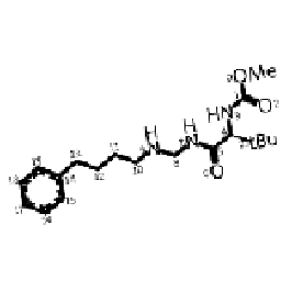 COC(=O)N[C@H](C(=O)NCNCCCCc1ccccc1)C(C)(C)C